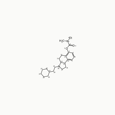 CCN(C)C(=O)Oc1cccc2c1CCC1C2CCN1CCC1CCCCC1